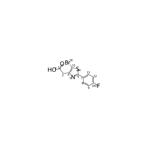 O=C(O)Cc1nc(-c2ccc(F)cc2)sc1Br